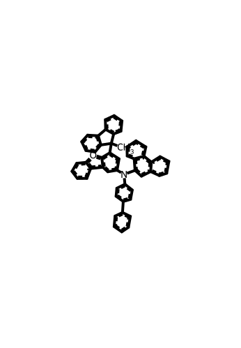 CC1(c2cc(N(c3ccc(-c4ccccc4)cc3)c3cc4ccccc4c4ccccc34)cc3c2oc2ccccc23)c2ccccc2-c2ccccc21